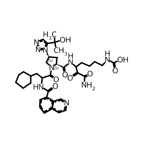 CC(C)(O)c1cnnn1[C@H]1C[C@@H](C(=O)NC(CCCCNC(=O)O)C(=O)C(N)=O)N(C(=O)C(CC2CCCCC2)NC(=O)c2cccc3ccncc23)C1